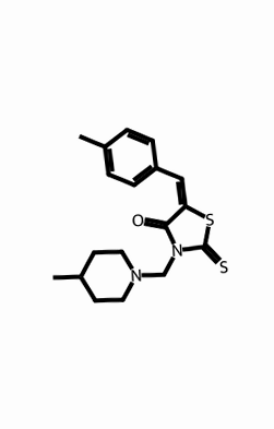 Cc1ccc(C=C2SC(=S)N(CN3CCC(C)CC3)C2=O)cc1